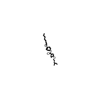 CCCCCC=COc1ccc(OC(=O)c2ccc(OCCCC(C)CC)cc2)cc1